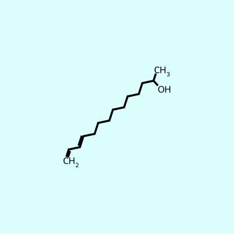 C=CC=CCCCCCCCCC(C)O